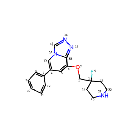 FC1(COc2cc(-c3ccccc3)cn3[c]nnc23)CCNCC1